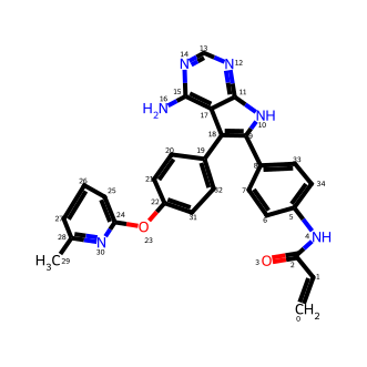 C=CC(=O)Nc1ccc(-c2[nH]c3ncnc(N)c3c2-c2ccc(Oc3cccc(C)n3)cc2)cc1